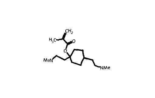 C=C(C)C(=O)OC1(CCNC)CCC(CCNC)CC1